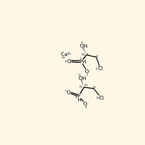 O=[PH]([O-])[C@H](O)CCl.O=[PH]([O-])[C@H](O)CCl.[Ca+2]